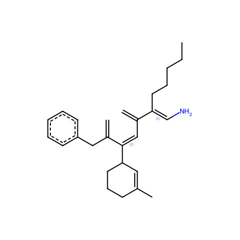 C=C(Cc1ccccc1)/C(=C\C(=C)/C(=C/N)CCCCC)C1C=C(C)CCC1